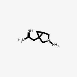 N=C(N)CC12CC1CN(N)C2